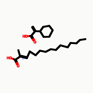 C=C(C(=O)O)C1CCCCC1.CCCCCCCCCCCC/C=C(\C)C(=O)O